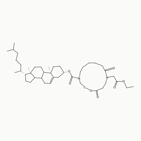 CCOC(=O)CN1CCC(=O)OCCN(C(=O)O[C@H]2CC[C@@]3(C)C(=CCC4C3CC[C@@]3(C)C4CC[C@@H]3C(C)CCCC(C)C)C2)CCCCCC1=O